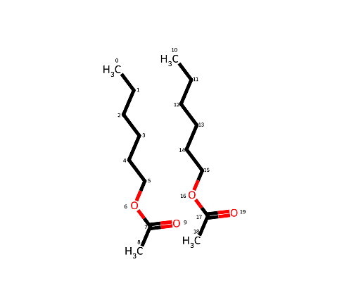 CCCCCCOC(C)=O.CCCCCCOC(C)=O